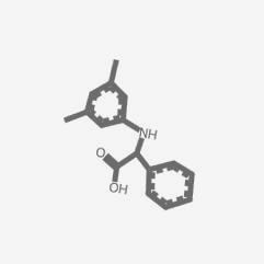 Cc1cc(C)cc(NC(C(=O)O)c2ccccc2)c1